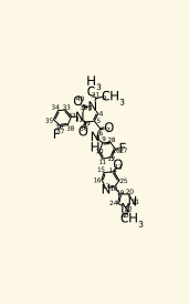 CC(C)n1cc(C(=O)Nc2ccc(Oc3ccnc(-c4cnn(C)c4)c3)c(F)c2)c(=O)n(-c2cccc(F)c2)c1=O